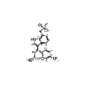 CS(=O)(=O)Cc1cccc2c(C(CCC#N)c3ccc(C(F)(F)F)cc3F)c[nH]c12